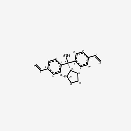 C=Cc1ccc(C(O)(c2ccc(C=C)cc2)[C@@H]2CCCN2)cc1